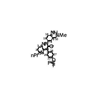 CCCc1ccc2nn(C3=C/C(=C/NC)C(=N)C=C3)c(=O)c(-c3ccc(OC(F)F)cc3)c2n1